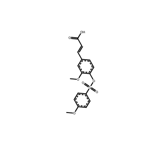 COc1ccc(S(=O)(=O)Oc2ccc(/C=C/C(=O)O)cc2OC)cc1